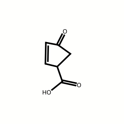 O=C1C=CC(C(=O)O)C1